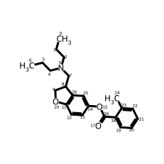 CCCN(CCC)CC1COc2ccc(OC(=O)c3ccccc3C)cc21